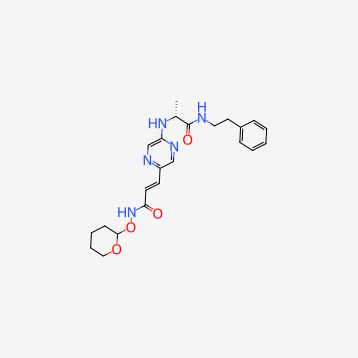 C[C@@H](Nc1cnc(/C=C/C(=O)NOC2CCCCO2)cn1)C(=O)NCCc1ccccc1